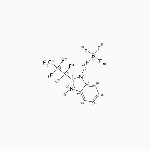 Cn1c(C(F)(F)C(F)(F)C(F)(F)F)[n+](C)c2ccccc21.F[B-](F)(F)F